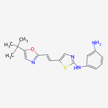 CC(C)(C)c1cnc(C=Cc2cnc(Nc3cccc(N)c3)s2)o1